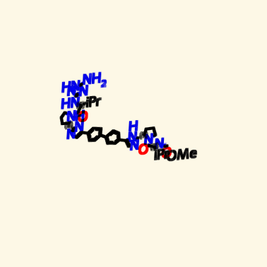 COO/C=N\[C@H](C(=O)N1CCC[C@H]1c1ncc(-c2ccc(-c3ccc(-c4cnc([C@@H]5CCCN5C(=O)[C@@H](Nc5n[nH]c(N)n5)C(C)C)[nH]4)cc3)cc2)[nH]1)C(C)C